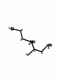 CCCCC(C)NCC[O]